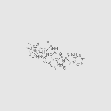 C[C@H]1[C@@H](NC(=Nc2ccc3c(c2)C(=O)N([C@@H](CO)Cc2ccccc2)C3=O)N2CCN[C@@H](C)C2)C[C@@H]2C[C@@H]1C2(C)C